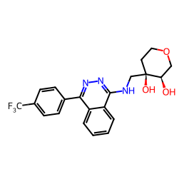 O[C@@H]1COCC[C@@]1(O)CNc1nnc(-c2ccc(C(F)(F)F)cc2)c2ccccc12